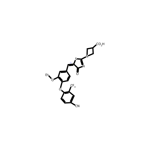 CCOc1cc(/C=C2/SC(N3CC(C(=O)O)C3)=NC2=O)ccc1Oc1ccc(C#N)cc1C(F)(F)F